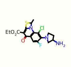 CCOC(=O)c1c2n(c3c(Cl)c(N4CCC(N)C4)c(F)cc3c1=O)C(C)S2